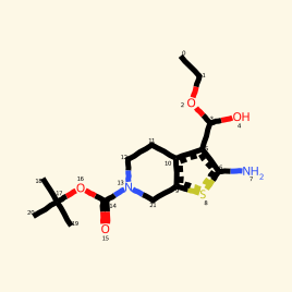 CCOC(O)c1c(N)sc2c1CCN(C(=O)OC(C)(C)C)C2